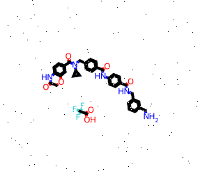 NCc1cccc(CNC(=O)c2ccc(NC(=O)c3ccc(CN(C(=O)c4ccc5c(c4)OCC(=O)N5)C4CC4)cc3)cc2)c1.O=C(O)C(F)(F)F